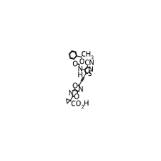 CC(OC(=O)Nc1c(C#N)nsc1C#Cc1nc2oc(C3(C(=O)O)CC3)nc2o1)c1ccccc1